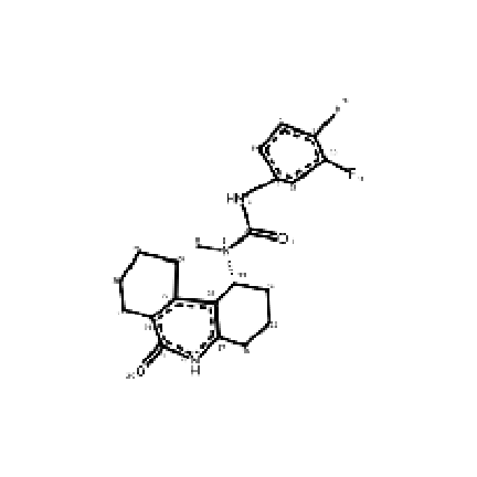 CN(C(=O)Nc1ccc(F)c(F)c1)[C@@H]1CCCc2[nH]c(=O)c3c(c21)CCCC3